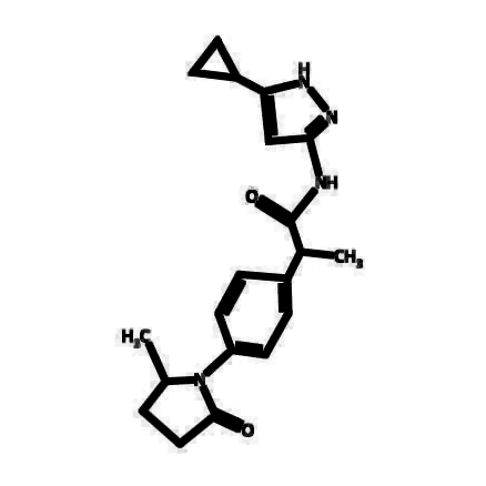 CC(C(=O)Nc1cc(C2CC2)[nH]n1)c1ccc(N2C(=O)CCC2C)cc1